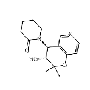 CC1(C)Oc2ccncc2[C@H](N2CCCCC2=O)[C@H]1O